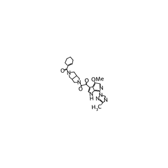 COc1cnc(-n2cnc(C)n2)c2[nH]cc(C(=O)C(=O)N3CC4CN(C(=O)C5=CCCCC5)CC4C3)c12